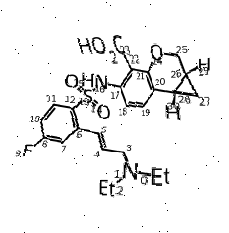 CCN(CC)CC=Cc1cc(F)ccc1S(=O)(=O)Nc1ccc2c(c1C(=O)O)OC[C@@H]1C[C@H]21